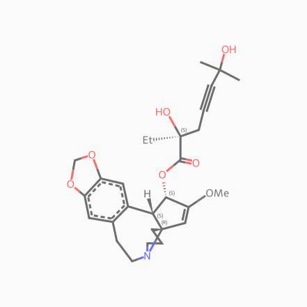 CC[C@](O)(CC#CC(C)(C)O)C(=O)O[C@@H]1C(OC)=C[C@]23CCCN2CCc2cc4c(cc2[C@H]13)OCO4